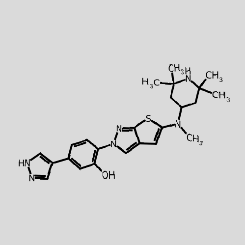 CN(c1cc2cn(-c3ccc(-c4cn[nH]c4)cc3O)nc2s1)C1CC(C)(C)NC(C)(C)C1